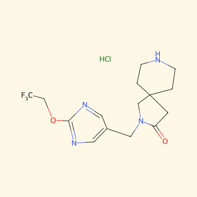 Cl.O=C1CC2(CCNCC2)CN1Cc1cnc(OCC(F)(F)F)nc1